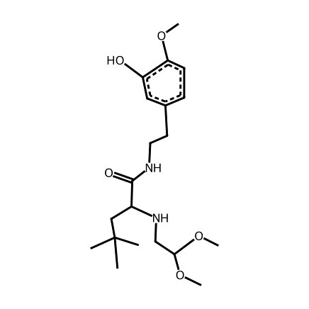 COc1ccc(CCNC(=O)C(CC(C)(C)C)NCC(OC)OC)cc1O